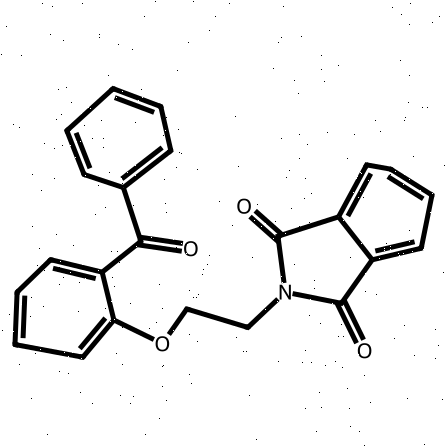 O=C(c1ccccc1)c1ccccc1OCCN1C(=O)c2ccccc2C1=O